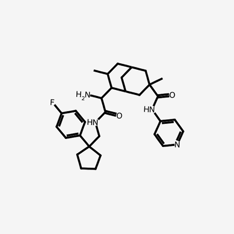 CC1CC2CC(CC(C)(C(=O)Nc3ccncc3)C2)C1C(N)C(=O)NCC1(c2ccc(F)cc2)CCCC1